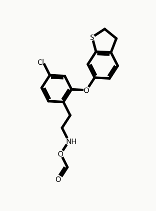 O=CONCCc1ccc(Cl)cc1Oc1ccc2c(c1)SCC2